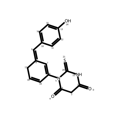 O=C1CC(=O)N(C2=CC(=Cc3ccc(O)cc3)CC=C2)C(=S)N1